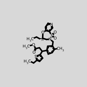 CCC[C@@H]1CN(Cc2cc(C(CC(=O)OC)c3ccc(CC)s3)ccc2C)S(=O)(=O)c2cnccc2O1